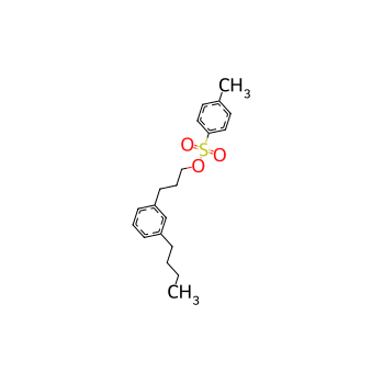 CCCCc1cccc(CCCOS(=O)(=O)c2ccc(C)cc2)c1